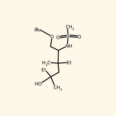 CCC(C)OCC(NS(C)(=O)=O)C(C)(CC)CC(C)(O)CC